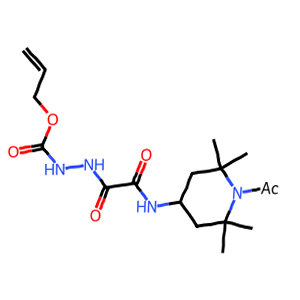 C=CCOC(=O)NNC(=O)C(=O)NC1CC(C)(C)N(C(C)=O)C(C)(C)C1